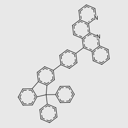 c1ccc(C2(c3ccccc3)c3ccccc3-c3ccc(-c4ccc(-c5c6ccccc6nc6c5ccc5cccnc56)cc4)cc32)cc1